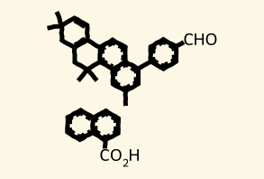 Cc1cc(-c2ccc(C=O)cc2)c2ccc3c(c2c1)C(C)(C)CC1=C3C=CC(C)(C)C1.O=C(O)c1cccc2ccccc12